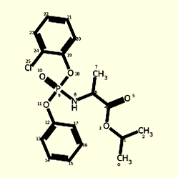 CC(C)OC(=O)C(C)NP(=O)(Oc1ccccc1)Oc1ccccc1Cl